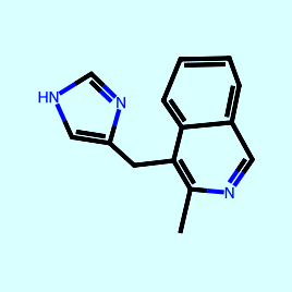 Cc1ncc2ccccc2c1Cc1c[nH]cn1